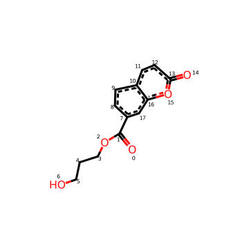 O=C(OCCCO)c1ccc2ccc(=O)oc2c1